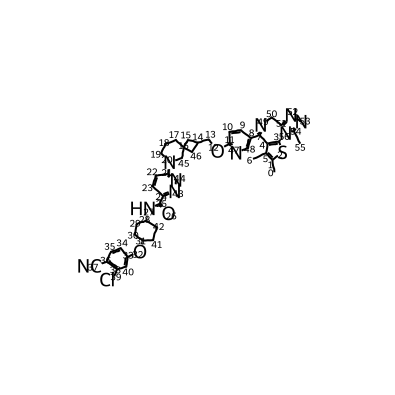 Cc1sc2c(c1C)C(c1ccc(OCC3CC4(CCCN(c5ccc(C(=O)N[C@H]6CC[C@H](Oc7ccc(C#N)c(Cl)c7)CC6)nn5)C4)C3)nc1)=NCc1nnc(C)n1-2